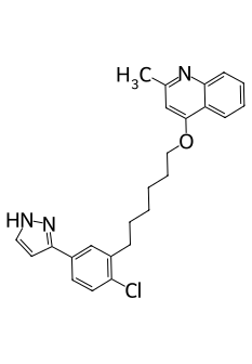 Cc1cc(OCCCCCCc2cc(-c3cc[nH]n3)ccc2Cl)c2ccccc2n1